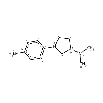 CN(C)[C@H]1CCN(c2ccc(N)cn2)C1